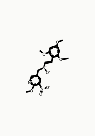 COc1cc(OC)c(C=C[S+]([O-])Cc2cnc(OC)c([N+](=O)[O-])c2)c(OC)c1